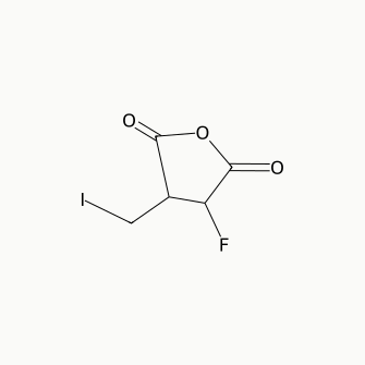 O=C1OC(=O)C(CI)C1F